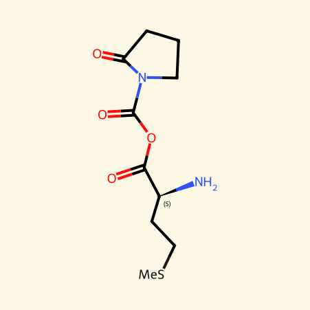 CSCC[C@H](N)C(=O)OC(=O)N1CCCC1=O